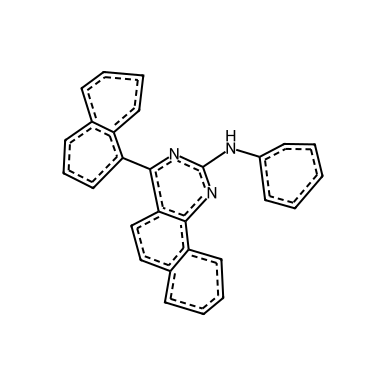 c1ccc(Nc2nc(-c3cccc4ccccc34)c3ccc4ccccc4c3n2)cc1